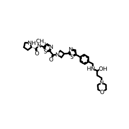 CN(C(=O)[C@@H]1CCCN1)c1cnc(C(=O)N2CC(c3ncc(-c4ccc(CNC(O)CCN5CCOCC5)cc4)s3)C2)s1